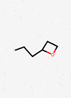 [CH2]CCC1CCO1